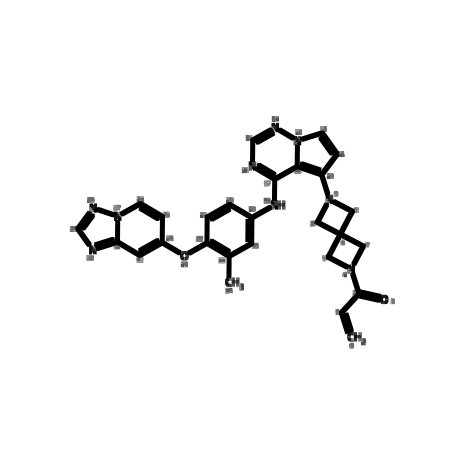 C=CC(=O)N1CC2(C1)CN(c1ccn3ncnc(Nc4ccc(Oc5ccn6ncnc6c5)c(C)c4)c13)C2